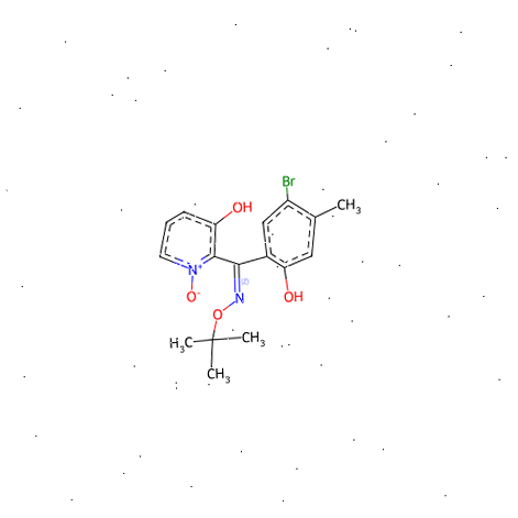 Cc1cc(O)c(/C(=N/OC(C)(C)C)c2c(O)ccc[n+]2[O-])cc1Br